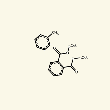 CCCCCCCCOC(=O)c1ccccc1C(=O)OCCCCCCCC.Cc1ccccc1